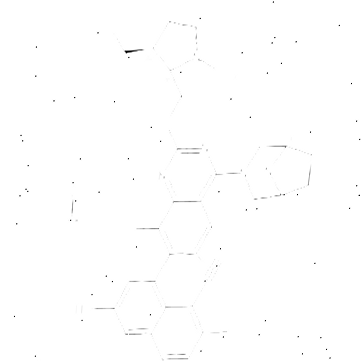 C#Cc1c(F)ccc2cc(O)cc(-c3c(F)cc4c(N5C[C@H]6CC[C@@H](C5)N6)nc(OC[C@@]5(C)[C@@H](CF)CCN5C)nc4c3F)c12.O=CO